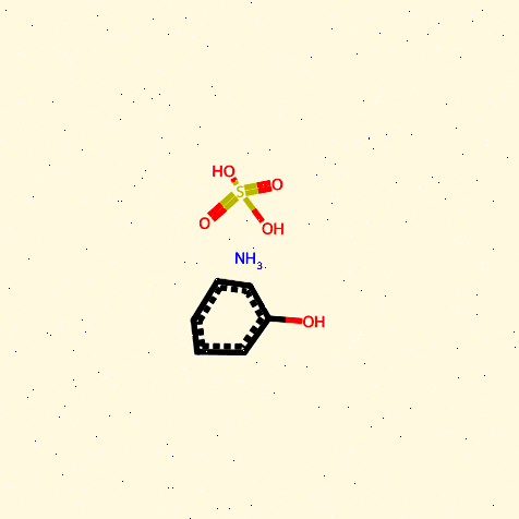 N.O=S(=O)(O)O.Oc1ccccc1